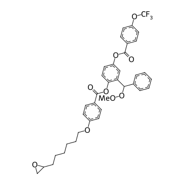 COOC(c1ccccc1)c1cc(OC(=O)c2ccc(OC(F)(F)F)cc2)ccc1OC(=O)c1ccc(OCCCCCCC2CO2)cc1